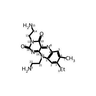 CCc1cc2c(cc1C)nc1c(=O)n(CCN)c(=O)nc-1n2CCN